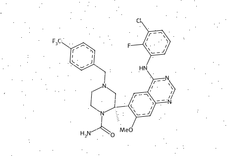 COc1cc2ncnc(Nc3cccc(Cl)c3F)c2cc1[C@]1(C)CN(Cc2ccc(C(F)(F)F)cc2)CCN1C(N)=O